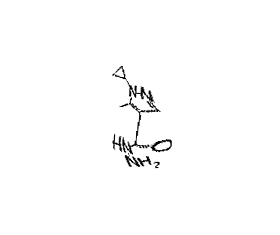 Cc1c(C(=O)NN)cnn1C1CC1